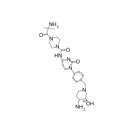 CC(C)(N)C(=O)N1CCN(C(=O)Nc2ccn(-c3ccc(CN4CCC(N)[C@H](O)C4)cc3)c(=O)n2)CC1